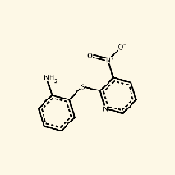 Nc1ccccc1Sc1ncccc1[N+](=O)[O-]